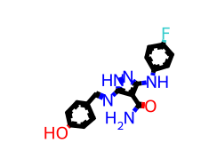 NC(=O)c1c(Nc2ccc(F)cc2)n[nH]c1N=Cc1ccc(O)cc1